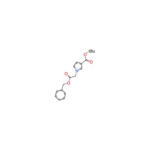 CC(C)(C)OC(=O)c1ccn(CC(=O)OCc2ccccc2)c1